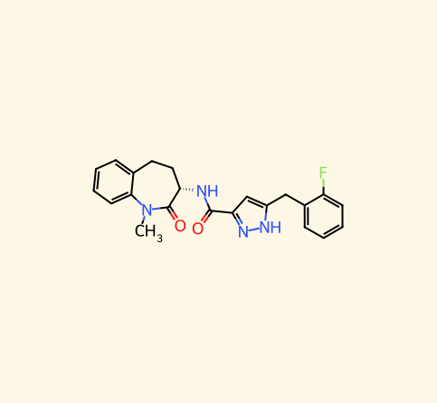 CN1C(=O)[C@@H](NC(=O)c2cc(Cc3ccccc3F)[nH]n2)CCc2ccccc21